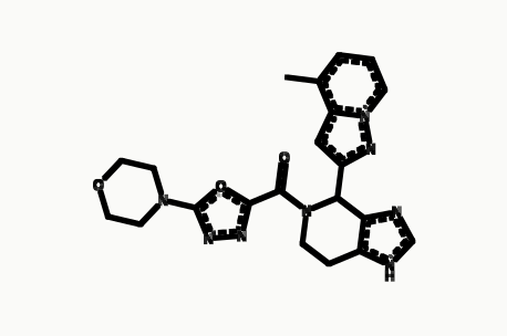 Cc1cccn2nc(C3c4nc[nH]c4CCN3C(=O)c3nnc(N4CCOCC4)o3)cc12